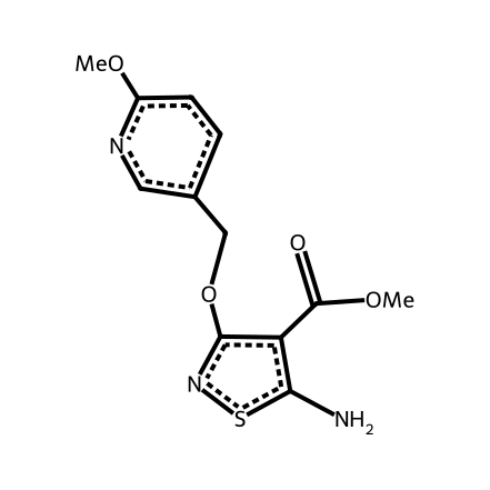 COC(=O)c1c(OCc2ccc(OC)nc2)nsc1N